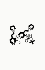 CC(C)(C)OC(=O)Nc1cnccc1CCN1CCCC1.Nc1cnccc1CCN1CCCC1